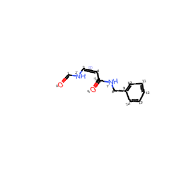 O=CN/C=C\C(=O)NCc1ccccc1